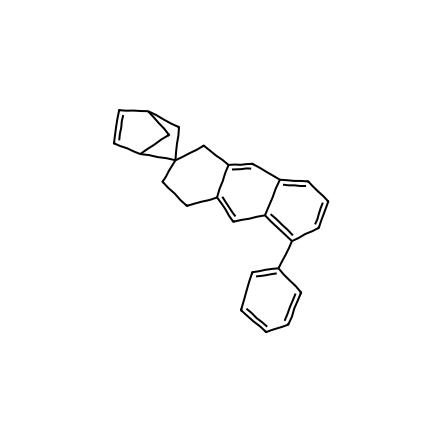 C1=CC2CC1CC21CCc2cc3c(-c4ccccc4)cccc3cc2C1